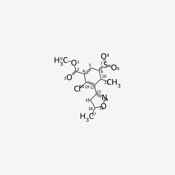 COC(=O)C1=CC(=S(=O)=O)C(C)C(C2=NOC(C)C2)=C1Cl